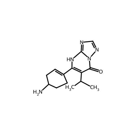 CC(C)c1c(C2=CCC(N)CC2)[nH]c2ncnn2c1=O